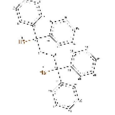 SC(CCC(S)(c1ccccc1)c1ccccc1)(c1ccccc1)c1ccccc1